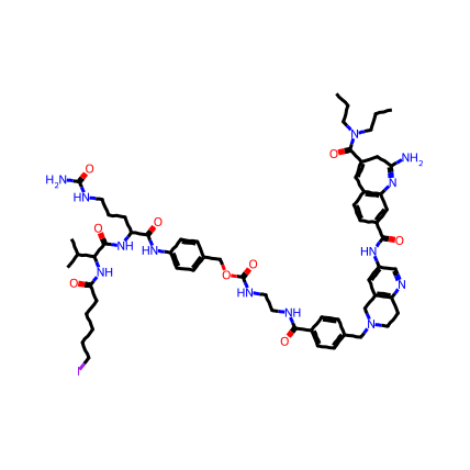 CCCN(CCC)C(=O)C1=Cc2ccc(C(=O)Nc3cnc4c(c3)CN(Cc3ccc(C(=O)NCCNC(=O)OCc5ccc(NC(=O)C(CCCNC(N)=O)NC(=O)C(NC(=O)CCCCCI)C(C)C)cc5)cc3)CC4)cc2N=C(N)C1